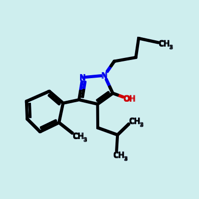 CCCCn1nc(-c2ccccc2C)c(CC(C)C)c1O